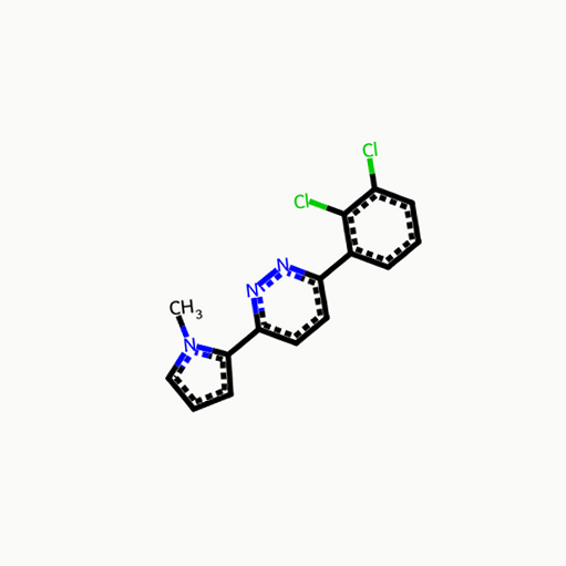 Cn1cccc1-c1ccc(-c2cccc(Cl)c2Cl)nn1